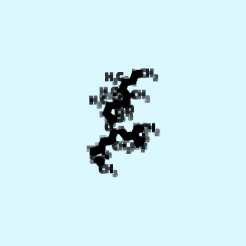 C=CC[C@H](C)[C@H](C)[C@@H](C)C(=O)C(C)(C)[C@@H](C)CC(=O)O[C@@H](C/C=C(\C=C)C(F)(F)F)/C(C)=C/c1csc(C)n1